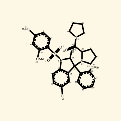 COc1ccc(S(=O)(=O)N2c3ccc(Cl)cc3C(c3cccnc3OC)(N3CCCC3C(=O)N3CCCC3)C2O)c(OC)c1